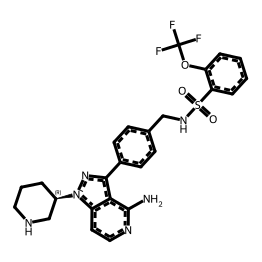 Nc1nccc2c1c(-c1ccc(CNS(=O)(=O)c3ccccc3OC(F)(F)F)cc1)nn2[C@@H]1CCCNC1